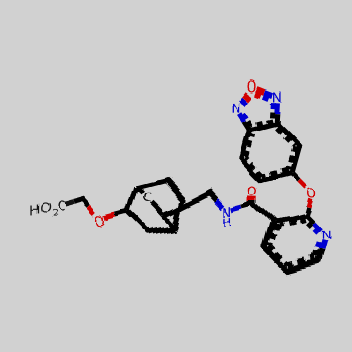 O=C(O)COC1CC2CCC1CC2CNC(=O)c1cccnc1Oc1ccc2nonc2c1